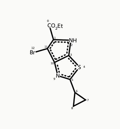 CCOC(=O)c1[nH]c2sc(C3CC3)nc2c1Br